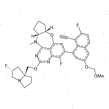 C#Cc1c(F)ccc2cc(OCOC)cc(-c3cc4c5c(nc(OC[C@@]67CCCN6C[C@H](F)C7)nc5c3F)N(C)[C@@H]3CCC[C@@H]3O4)c12